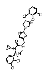 NC[C@@H](Cc1cnc(N2CC[C@@H](Oc3c(Cl)cccc3Cl)C2)s1)C(=O)N(Cc1cccc(Cl)c1Cl)C1CC1